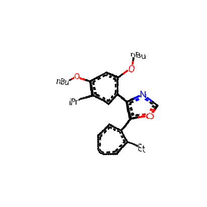 CCCCOc1cc(OCCCC)c(C(C)C)cc1-c1ncoc1-c1ccccc1CC